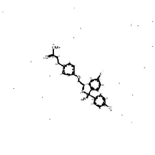 CCCC(SCCOc1ccc(CCC(=O)OC)cc1)(c1ccc(Cl)cc1)c1ccc(Cl)cc1